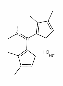 CC1=CC[C]([Ti]([C]2=C(C)C(C)=CC2)=[Si](C)C)=C1C.Cl.Cl